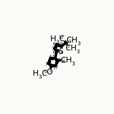 COc1ccc(-c2ccc(C(C)(C)C)s2)c(C)c1